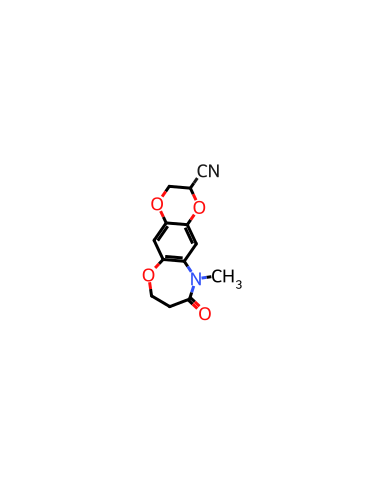 CN1C(=O)CCOc2cc3c(cc21)OC(C#N)CO3